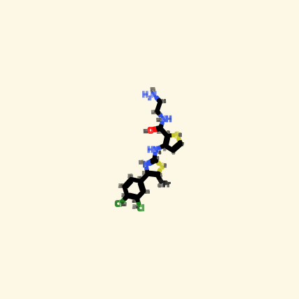 CC(C)c1sc(Nc2ccsc2C(=O)NCCN)nc1-c1ccc(Cl)c(Cl)c1